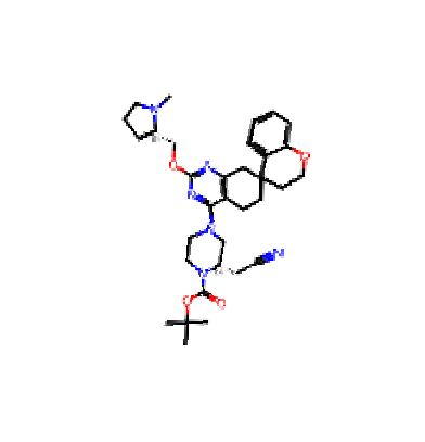 CN1CCC[C@H]1COc1nc2c(c(N3CCN(C(=O)OC(C)(C)C)[C@@H](CC#N)C3)n1)CCC1(CCOc3ccccc31)C2